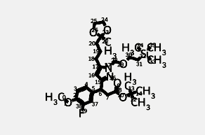 COc1ccc(C(CC(=O)OC(C)(C)C)c2cc(CCCC3(C)OCCO3)n(COCC[Si](C)(C)C)n2)cc1F